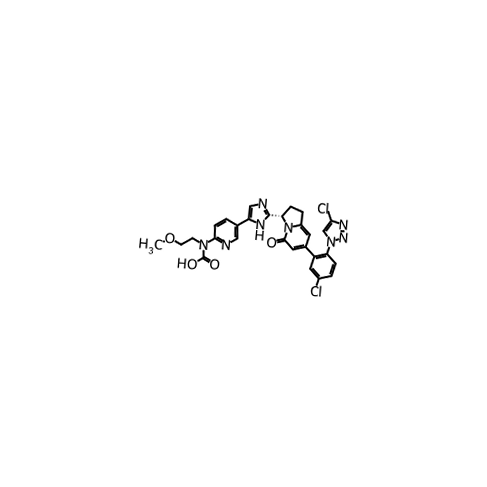 COCCN(C(=O)O)c1ccc(-c2cnc([C@@H]3CCc4cc(-c5cc(Cl)ccc5-n5cc(Cl)nn5)cc(=O)n43)[nH]2)cn1